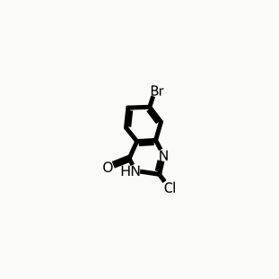 O=c1[nH]c(Cl)nc2cc(Br)ccc12